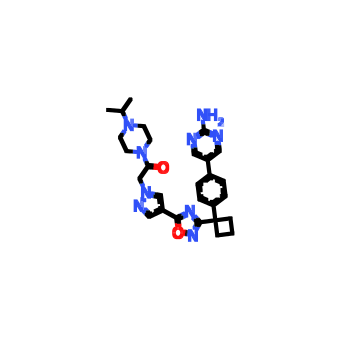 CC(C)N1CCN(C(=O)Cn2cc(-c3nc(C4(c5ccc(-c6cnc(N)nc6)cc5)CCC4)no3)cn2)CC1